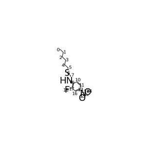 CCCCCCSCNc1ccc([N+](=O)[O-])cc1F